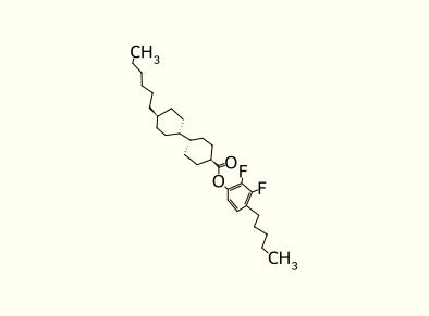 CCCCCC[C@H]1CC[C@H]([C@H]2CC[C@H](C(=O)Oc3ccc(CCCCC)c(F)c3F)CC2)CC1